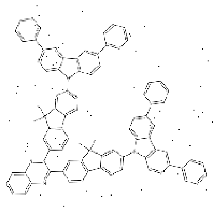 CC1(C)c2cc(-c3nc4ccccc4nc3-c3ccc4c(c3)C(C)(C)c3cc(-n5c6ccc(-c7ccccc7)cc6c6cc(-c7ccccc7)ccc65)ccc3-4)ccc2-c2ccc(-n3c4ccc(-c5ccccc5)cc4c4cc(-c5ccccc5)ccc43)cc21